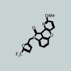 COc1ccc2c(n1)C1C(=O)N(Cc3ccc(C(F)(F)F)o3)c3cccc(c31)O2